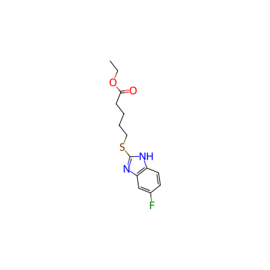 CCOC(=O)CCCCSc1nc2cc(F)ccc2[nH]1